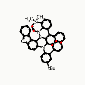 CC(C)(C)c1ccc(N2c3cc4ccccc4c4c3B(c3c2ccc2oc5ccccc5c32)N2c3ccccc3[Si](C)(C)c3cccc-4c32)c(-c2ccccc2)c1